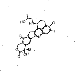 CC[C@@]1(O)C(=O)OCc2c1cc1n(c2=O)Cc2c-1nc1cc(F)c(Cl)c3c1c2[C@@H](NC[C@H](C)O)CC3